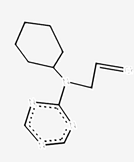 C=CCN(c1ncncn1)C1CCCCC1